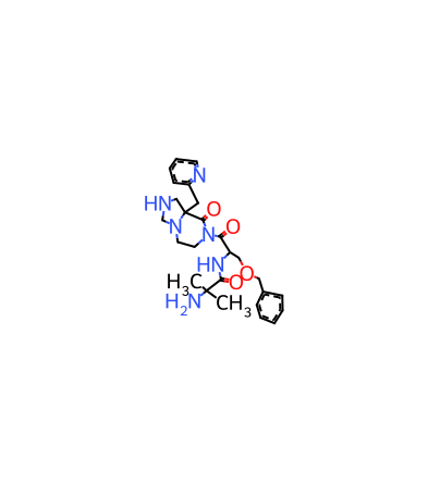 CC(C)(N)C(=O)NC(COCc1ccccc1)C(=O)N1CCN2CNCC2(Cc2ccccn2)C1=O